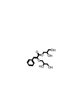 O=C(OCC(O)CO)C(=Cc1ccccc1)OCC(O)CO